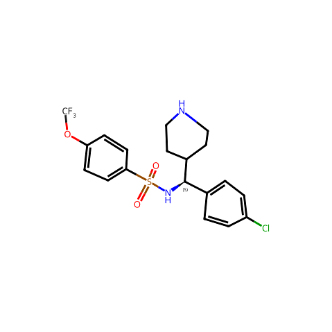 O=S(=O)(N[C@H](c1ccc(Cl)cc1)C1CCNCC1)c1ccc(OC(F)(F)F)cc1